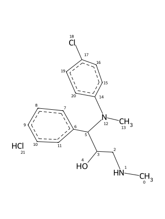 CNCC(O)C(c1ccccc1)N(C)c1ccc(Cl)cc1.Cl